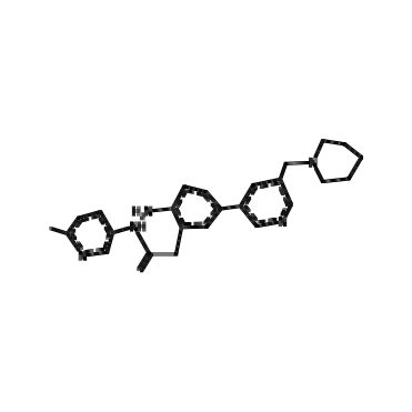 C=C(Cc1cc(-c2cncc(CN3CCCCC3)c2)ccc1N)Nc1ccc(C)nc1